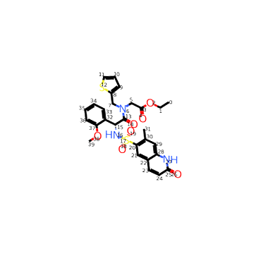 CCOC(=O)CN(Cc1cccs1)C(=O)[C@H](NS(=O)(=O)c1cc2ccc(=O)[nH]c2cc1C)c1ccccc1OC